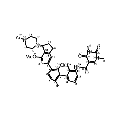 COc1nc(-c2ccc(F)c(-c3cccc(NC(=O)c4cn(C)c(=O)n(C)c4=O)c3Cl)c2Cl)cc2c1[C@@H](N1CCN(C(C)=O)CC1)CC2